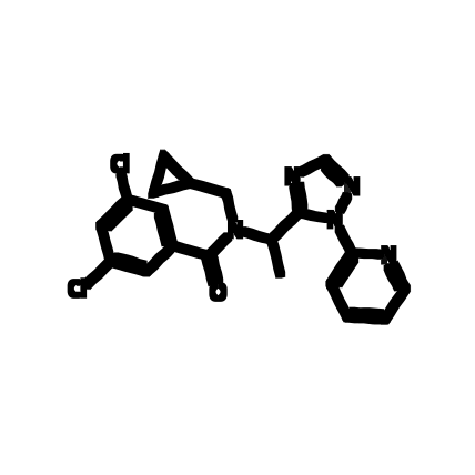 CC(c1ncnn1-c1ccccn1)N(CC1CC1)C(=O)c1cc(Cl)cc(Cl)c1